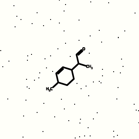 CC1C=CC(C(C)C=O)CC1